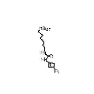 CCCCCCCCCCCCCCCCNC(=O)NC12CC(CC)(C1)C2